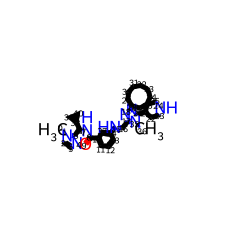 Cn1ccnc1[C@H](NC(=O)c1cccc(NCc2nnc(C3CCNCC34CCCCCCCC4)n2C)c1)C1CC1